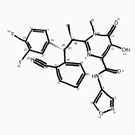 C[C@@H](c1nc(C(=O)Nc2cnoc2)c(O)c(=O)n1C)[C@@H](c1ccc(F)c(F)c1)c1ccccc1C#N